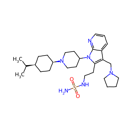 CC(C)[C@H]1CC[C@@H](N2CCC(n3c(CCNS(N)(=O)=O)c(CN4CCCC4)c4cccnc43)CC2)CC1